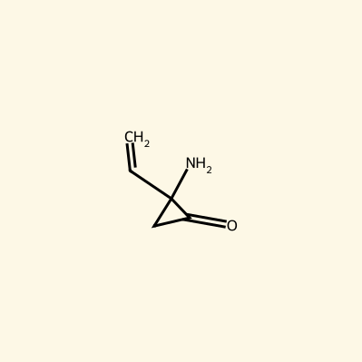 C=CC1(N)CC1=O